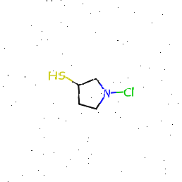 SC1CCN(Cl)C1